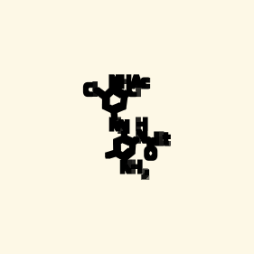 CCC(=O)Nc1cc(N)c(C)cc1N=Nc1cc(Cl)c(NC(C)=O)c(Cl)c1